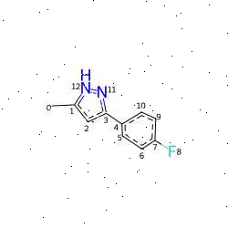 Cc1[c]c(-c2ccc(F)cc2)n[nH]1